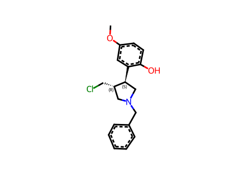 COc1ccc(O)c([C@H]2CN(Cc3ccccc3)C[C@@H]2CCl)c1